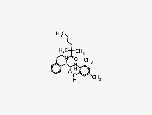 CCCCC(C)(C)C(=O)N1CCc2ccccc2C1C(=O)Nc1c(C)cc(C)cc1C